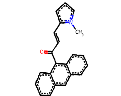 Cn1cccc1/C=C/C(=O)c1c2ccccc2cc2ccccc12